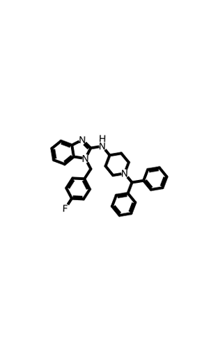 Fc1ccc(Cn2c(NC3CCN(C(c4ccccc4)c4ccccc4)CC3)nc3ccccc32)cc1